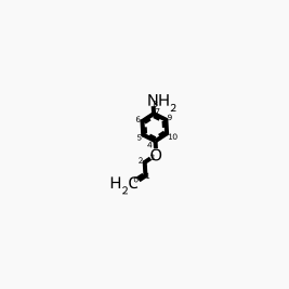 C=CCOc1ccc(N)cc1